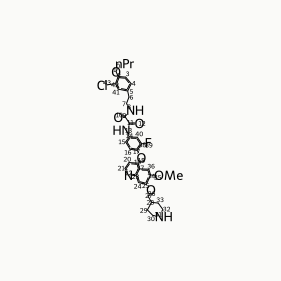 CCCOc1ccc(CCNC(=O)C(=O)Nc2ccc(Oc3ccnc4cc(OCC5CCNCC5)c(OC)cc34)c(F)c2)cc1Cl